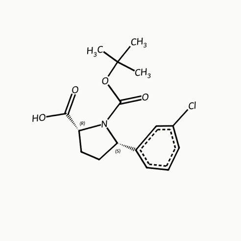 CC(C)(C)OC(=O)N1[C@@H](C(=O)O)CC[C@H]1c1cccc(Cl)c1